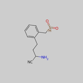 N#CC(N)CCc1ccccc1C[SH](=O)=O